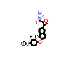 CC(C)(C)C1CCC(Oc2ccc3cc(C4COC4C(N)=O)ccc3c2C(F)(F)F)CC1